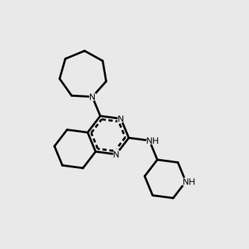 C1CCCN(c2nc(NC3CCCNC3)nc3c2CCCC3)CC1